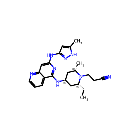 CC[C@@H]1C[C@@H](Nc2nc(Nc3cc(C)[nH]n3)cc3ncccc23)C[C@H](C)N1CCC#N